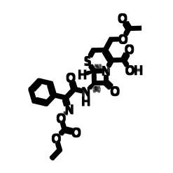 CCOC(=O)ON=C(C(=O)N[C@@H]1C(=O)N2C(C(=O)O)=C(COC(C)=O)CS[C@@H]12)c1ccccc1